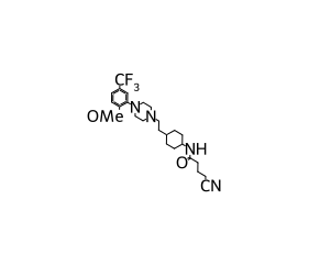 COc1ccc(C(F)(F)F)cc1N1CCN(CCC2CCC(NC(=O)CCCC#N)CC2)CC1